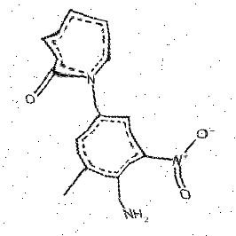 Cc1cc(-n2ccccc2=O)cc([N+](=O)[O-])c1N